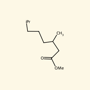 COC(=O)CC(C)CCCC(C)C